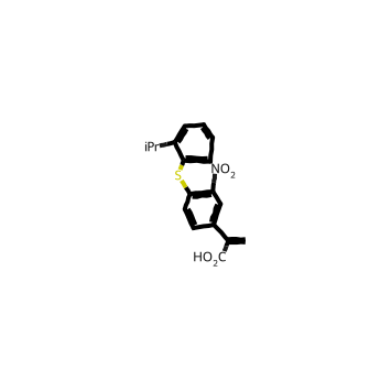 C=C(C(=O)O)c1ccc(Sc2ccccc2C(C)C)c([N+](=O)[O-])c1